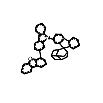 c1ccc2c(c1)-c1ccc(-n3c4ccccc4c4ccc(-c5cccc6c5oc5ccccc56)cc43)cc1C21C2CC3CC(C2)CC1C3